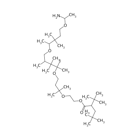 CC(N)OCCC(C)(C)C(C)OCC(C)C(C)(C)C(C)(I)OCCC(C)(C)OCCOC(=O)C(CC(C)(C)C)C(C)(C)C